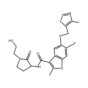 Cc1ncsc1COc1cc2c(C(=O)NC3CCN(CCO)C3=O)c(C)oc2cc1F